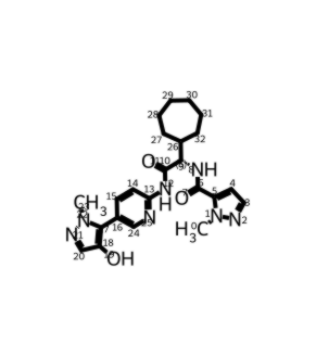 Cn1nccc1C(=O)N[C@H](C(=O)Nc1ccc(-c2c(O)cnn2C)cn1)C1CCCCCC1